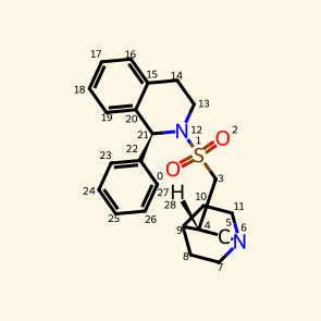 O=S(=O)(C[C@@H]1CN2CCC1CC2)N1CCc2ccccc2[C@@H]1c1ccccc1